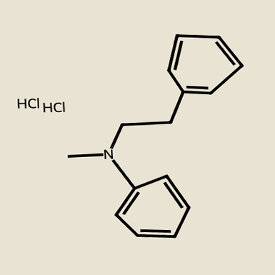 CN(CCc1ccccc1)c1ccccc1.Cl.Cl